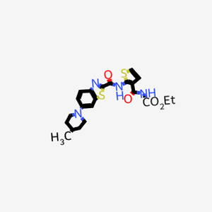 CCOC(=O)NC(=O)c1ccsc1NC(=O)c1nc2ccc(N3CCC(C)CC3)cc2s1